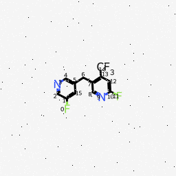 Fc1cncc(Cc2cnc(F)cc2C(F)(F)F)c1